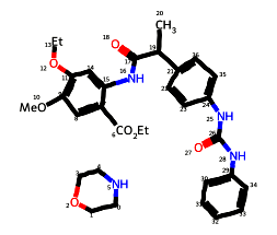 C1COCCN1.CCOC(=O)c1cc(OC)c(OCC)cc1NC(=O)C(C)c1ccc(NC(=O)Nc2ccccc2)cc1